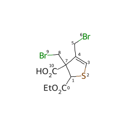 CCOC(=O)C1SC=C(CBr)C1(CBr)C(=O)O